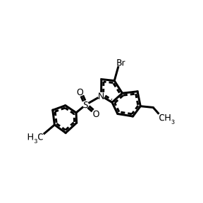 CCc1ccc2c(c1)c(Br)cn2S(=O)(=O)c1ccc(C)cc1